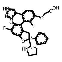 OCCOc1ccc(-c2c[nH]nn2)c(-c2c(Cl)c(F)cc3c2C[C@](c2ccccc2)([C@@H]2CCCN2)O3)c1F